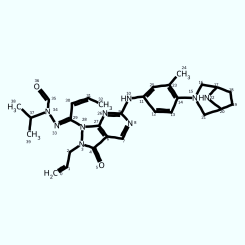 C=CCn1c(=O)c2cnc(Nc3ccc(N4CC5CCC(C4)N5)c(C)c3)nc2n1C(/C=C\C)=N/N(C=O)C(C)C